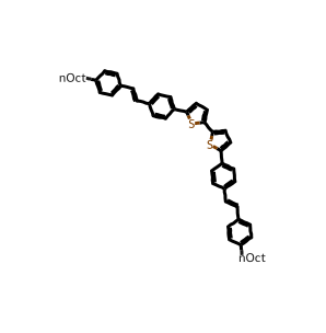 CCCCCCCCc1ccc(/C=C/c2ccc(-c3ccc(-c4ccc(-c5ccc(/C=C/c6ccc(CCCCCCCC)cc6)cc5)s4)s3)cc2)cc1